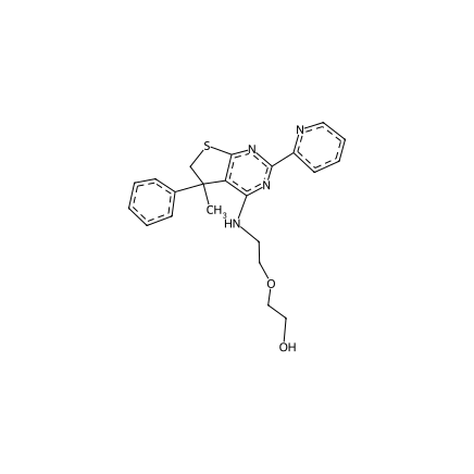 CC1(c2ccccc2)CSc2nc(-c3ccccn3)nc(NCCOCCO)c21